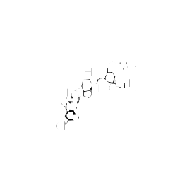 COC[C@]1(C)CC[C@@](C)(O)C[C@H]1CC[C@@H]1CCC[C@]2(C)[C@@H](C(=O)Cn3nnc4cc(Cl)cnc43)CC[C@@H]12